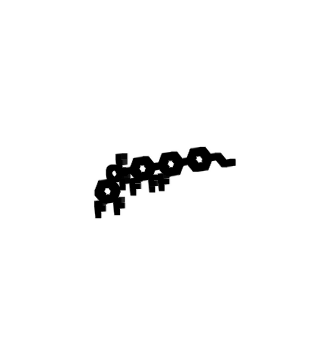 CCCc1ccc(-c2ccc(-c3ccc(C(F)(F)Oc4ccc(F)c(F)c4)c(F)c3F)c(F)c2)cc1